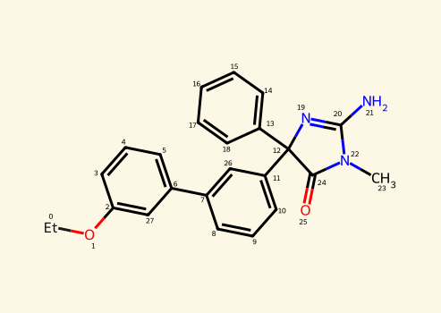 CCOc1cccc(-c2cccc(C3(c4ccccc4)N=C(N)N(C)C3=O)c2)c1